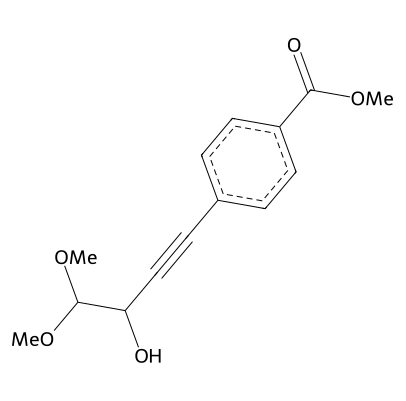 COC(=O)c1ccc(C#CC(O)C(OC)OC)cc1